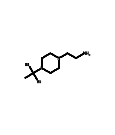 CCC(C)(CC)N1CCN(CCN)CC1